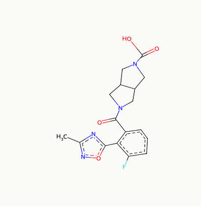 Cc1noc(-c2c(F)cccc2C(=O)N2CC3CN(C(=O)O)CC3C2)n1